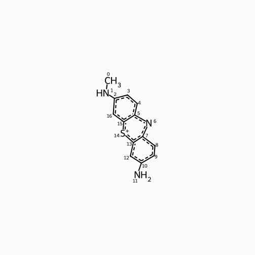 CNc1ccc2nc3ccc(N)cc3[s+]c2c1